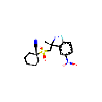 C[C@](N)(CS(=O)(=O)C1(C#N)CCCCC1)c1cc([N+](=O)[O-])ccc1F